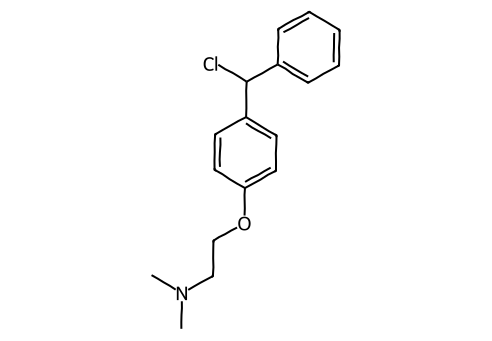 CN(C)CCOc1ccc(C(Cl)c2ccccc2)cc1